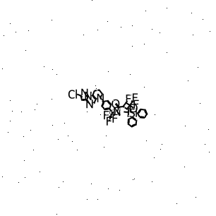 CN(C(=O)C1CC(O[Si](c2ccccc2)(c2ccccc2)C(C)(C)C)(C(F)(F)F)C1)[C@@H](c1ccc(N2CCCc3c2cnc2cc(Cl)nn32)cc1)C(F)(F)F